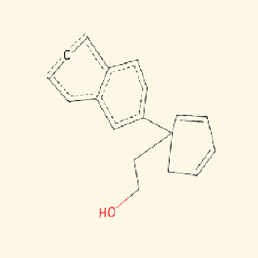 OCCC1(c2ccc3ccccc3c2)C=CC=CC1